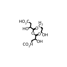 C=CCO.O=C(O)CC(O)C(=O)OC(=O)C(O)CC(=O)O